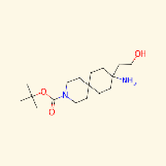 CC(C)(C)OC(=O)N1CCC2(CC1)CCC(N)(CCO)CC2